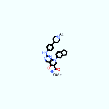 CONC(=O)c1cn(-c2ccc3c(c2)CCC3)c2nc(Nc3ccc(C4CCN(C(C)=O)CC4)cc3)ncc2c1=O